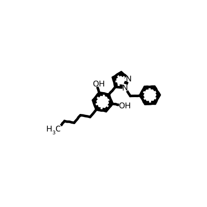 CCCCCc1cc(O)c(-c2ccnn2Cc2ccccc2)c(O)c1